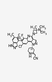 Cc1cc2[nH]ncc2c(-c2c(Cl)cc3c(nc(N4CC(C)(N(C)C)C4)c4cnn([C@H]5CCN[C@H](CC#N)C5)c43)c2F)c1C